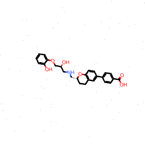 O=C(O)c1ccc(-c2ccc3c(c2)CC[C@H](CNC[C@H](O)COc2ccccc2O)O3)cc1